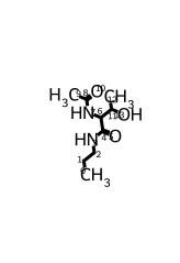 CCCNC(=O)C(NC(C)=O)C(C)O